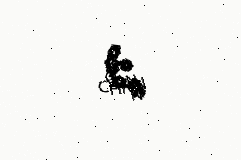 Cn1ccc2ncnc(Nc3ccc(OC4=CN(Cc5ccccc5)S(Cc5ccccc5)=C4)c(Cl)c3)c21